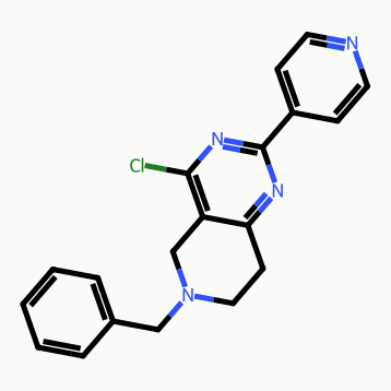 Clc1nc(-c2ccncc2)nc2c1CN(Cc1ccccc1)CC2